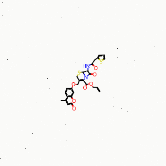 C=CCOC(=O)C1=C(COc2ccc3c(C)cc(=O)oc3c2)CSC2C(NC(=O)Cc3cccs3)C(=O)N12